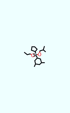 CCCO[Si](OCC(C)C)(C1CCCC1)C1CC(C)CC(C)C1